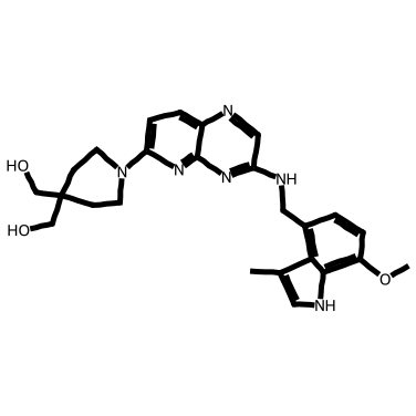 COc1ccc(CNc2cnc3ccc(N4CCC(CO)(CO)CC4)nc3n2)c2c(C)c[nH]c12